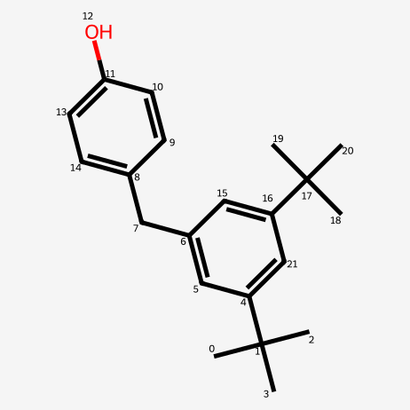 CC(C)(C)c1cc(Cc2ccc(O)cc2)cc(C(C)(C)C)c1